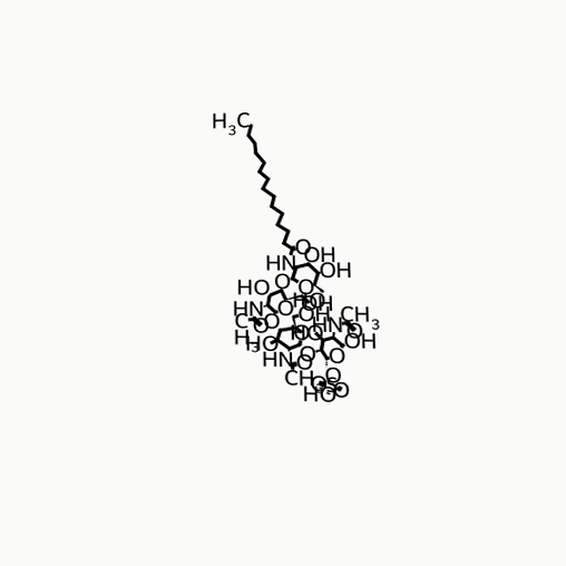 CCCCCCCCCCCCCCCC(=O)N[C@H]1C(O)[C@H](O)[C@@H](CO)O[C@H]1O[C@H]1C(O)[C@@H](NC(C)=O)[C@H](O[C@H]2C(O)[C@@H](NC(C)=O)[C@H](O[C@H]3C(O)[C@@H](NC(C)=O)C(O)O[C@@H]3COS(=O)(=O)O)O[C@@H]2CO)O[C@@H]1CO